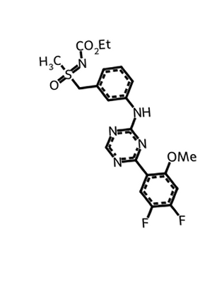 CCOC(=O)N=S(C)(=O)Cc1cccc(Nc2ncnc(-c3cc(F)c(F)cc3OC)n2)c1